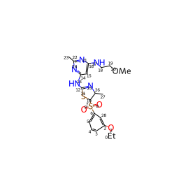 CCOc1cccc(S(=O)(=O)C2SC(Nc3cc(NCCOC)nc(C)n3)=NC2C)c1